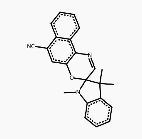 CN1c2ccccc2C(C)(C)C12C=Nc1c(cc(C#N)c3ccccc13)O2